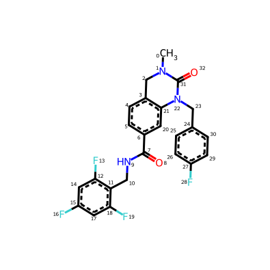 CN1Cc2ccc(C(=O)NCc3c(F)cc(F)cc3F)cc2N(Cc2ccc(F)cc2)C1=O